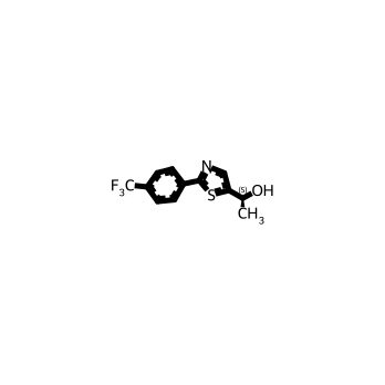 C[C@H](O)c1cnc(-c2ccc(C(F)(F)F)cc2)s1